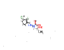 CC(O)CN(NCc1cccc(Cl)c1Cl)C(=O)O